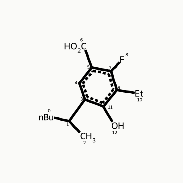 CCCCC(C)c1cc(C(=O)O)c(F)c(CC)c1O